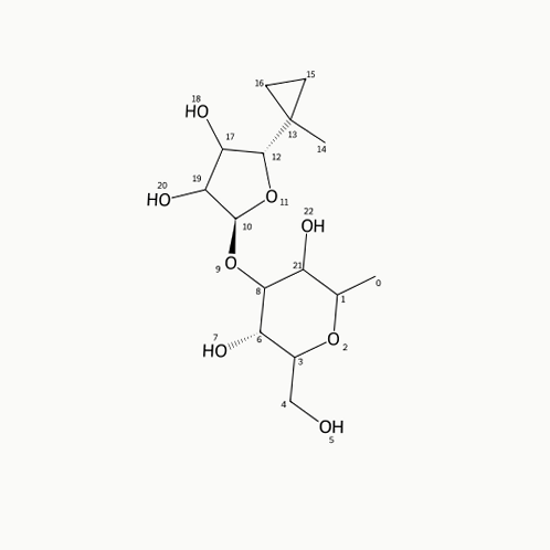 CC1OC(CO)[C@H](O)C(O[C@@H]2O[C@@H](C3(C)CC3)C(O)C2O)C1O